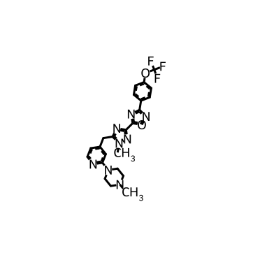 CN1CCN(c2cc(Cc3nc(-c4nc(-c5ccc(OC(F)(F)F)cc5)no4)nn3C)ccn2)CC1